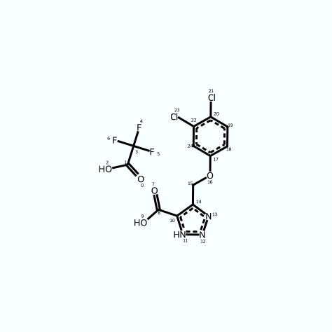 O=C(O)C(F)(F)F.O=C(O)c1[nH]nnc1COc1ccc(Cl)c(Cl)c1